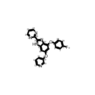 Fc1ccc(Oc2cc(Oc3cccnc3)cc3[nH]c(-c4ncccn4)nc23)cc1